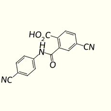 N#Cc1ccc(NC(=O)c2cc(C#N)ccc2C(=O)O)cc1